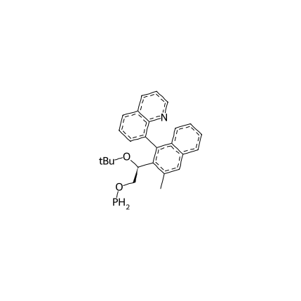 Cc1cc2ccccc2c(-c2cccc3cccnc23)c1[C@@H](COP)OC(C)(C)C